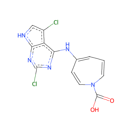 O=C(O)N1C=CC=C(Nc2nc(Cl)nc3[nH]cc(Cl)c23)C=C1